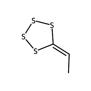 CC=C1SSSS1